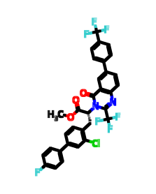 COC(=O)[C@@H](Cc1ccc(-c2ccc(F)cc2)cc1Cl)n1c(C(F)(F)F)nc2ccc(-c3ccc(C(F)(F)F)cc3)cc2c1=O